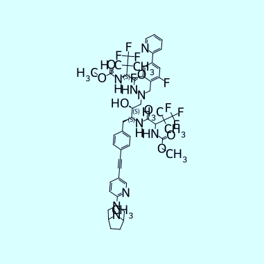 COC(=O)NC(C(=O)N[C@@H](Cc1ccc(C#Cc2ccc(N3CC4CCC(C3)N4C)nc2)cc1)[C@@H](O)CN(Cc1c(F)cc(-c2ccccn2)cc1F)NC(=O)[C@@H](NC(=O)OC)C(C)(C)C(F)(F)F)C(C)(C)C(F)(F)F